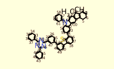 CC1(C)C2=C(CCC=C2)c2cc3c4cc(-c5cccc6c5sc5c(-c7cccc(-c8nc(-c9ccccc9)nc(-c9ccccc9)n8)c7)cccc56)ccc4n(-c4ccccc4)c3cc21